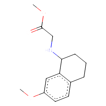 COC(=O)CNC1CCCc2ccc(OC)cc21